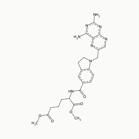 COC(=O)CCCC(NC(=O)c1ccc2c(c1)CCN2Cc1cnc2nc(N)nc(N)c2n1)C(=O)OC